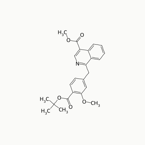 COC(=O)c1cnc(Cc2ccc(C(=O)OC(C)(C)C)c(OC)c2)c2ccccc12